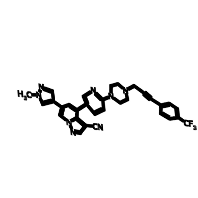 Cn1cc(-c2cc(-c3ccc(N4CCN(CC#Cc5ccc(C(F)(F)F)cc5)CC4)nc3)c3c(C#N)cnn3c2)cn1